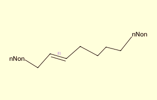 [CH2]CCCCCCCCC/C=C/CCCCCCCCCCCC[CH2]